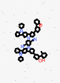 Cc1ccccc1-c1cc(-c2ccc3c(c2)c2cc4c(cc2n3-c2cc(C#N)c(-n3c5ccc(-c6ccc7oc8ccccc8c7c6)cc5c5cc6c(cc53)c3ccccc3n6-c3ccccc3)cc2C#N)c2ccccc2n4-c2ccccc2)ccc1O